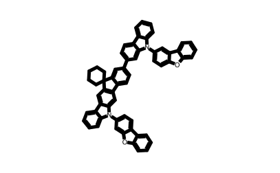 c1ccc2c(c1)oc1cc(-n3c4ccccc4c4cc5c(cc43)-c3ccc(-c4ccc6c7ccccc7n(-c7ccc8oc9ccccc9c8c7)c6c4)cc3C53CCCCC3)ccc12